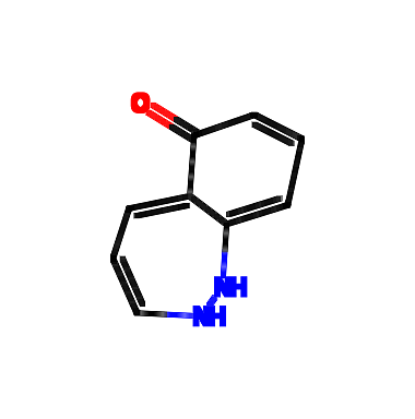 O=C1C=CC=C2NNC=CC=C12